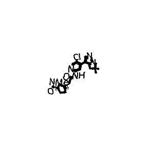 CNC(=O)[C@@H]1CC[C@H](CC(=O)Nc2cc(-c3cnn4c3CC(C)(C)C4)c(Cl)cn2)C1